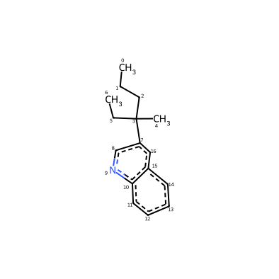 CCCC(C)(CC)c1cnc2ccccc2c1